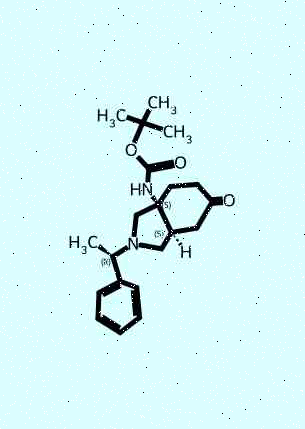 C[C@H](c1ccccc1)N1C[C@@H]2CC(=O)CC[C@@]2(NC(=O)OC(C)(C)C)C1